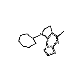 Cc1nc2ncnn2c2c1CCN2C1CCCCCC1